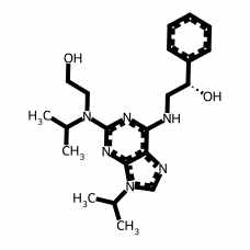 CC(C)N(CCO)c1nc(NC[C@@H](O)c2ccccc2)c2ncn(C(C)C)c2n1